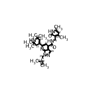 Cc1cc(C)c(CNC(=O)c2cc(C3=CC(C)(C)NC(C)(C)C3)nc3c2cnn3CCN(C)C)c(=O)[nH]1